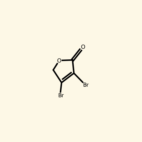 O=C1OCC(Br)=C1Br